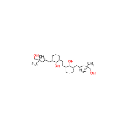 CC(C)(CO)CCCC1CCCC(CCC2CCCC(CCCC(C)(C)CO)C2O)C1O